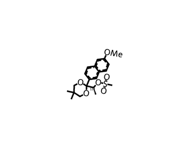 COc1ccc2cc(C3([C@H](C)OS(C)(=O)=O)OCC(C)(C)CO3)ccc2c1